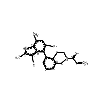 [CH2]c1cc(F)c(-c2cccc3c2CCN(C(=O)C=C)C3)c2c(Cl)c(C)[nH]c12